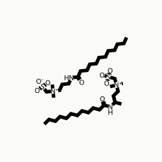 CCCCCCCCCCCC(=O)NC(C)CC[N+](C)(C)CS(=O)(=O)[O-].CCCCCCCCCCCC(=O)NCCC[N+](C)(C)CS(=O)(=O)[O-]